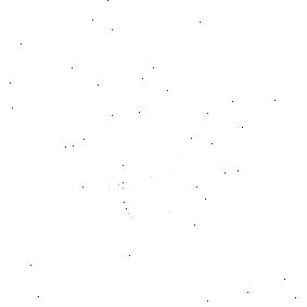 CC1CCc2cc(S(=N)(N)=O)sc2C1